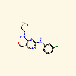 CCCNc1nc(Nc2cccc(F)c2)ncc1C=O